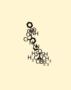 CC1(C)C(C(S)(S)Oc2ccn(-c3ccc(C(=O)NS(=O)(=O)c4ccccc4)c(Cl)n3)n2)C1(C)C